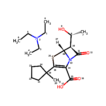 CCN(CC)CC.C[C@@H](O)[C@H]1C(=O)N2C(C(=O)O)=C(C3(C)CCCC3)S[C@H]12